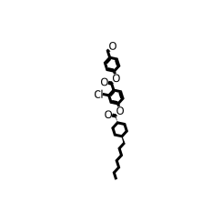 CCCCCCC[C@H]1CC[C@H](C(=O)Oc2ccc(C(=O)Oc3ccc(C=O)cc3)c(Cl)c2)CC1